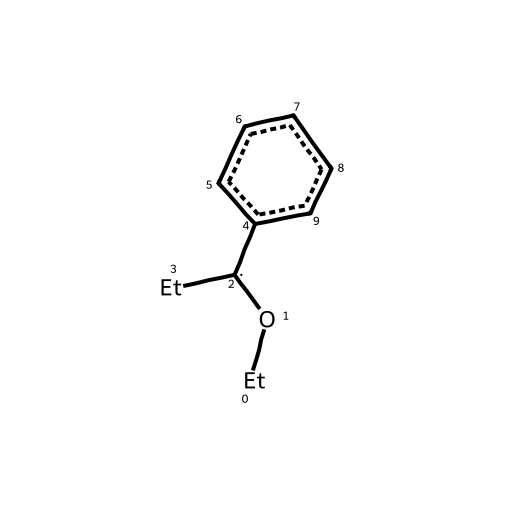 CCO[C](CC)c1ccccc1